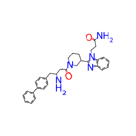 NC(=O)CCn1c(C2CCCN(C(=O)CC(N)Cc3ccc(-c4ccccc4)cc3)C2)nc2ccccc21